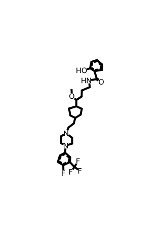 COC(CCCNC(=O)c1ccccc1O)C1CCC(CCN2CCN(c3ccc(F)c(C(F)(F)F)c3)CC2)CC1